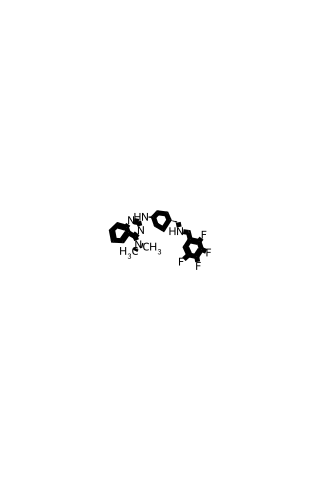 CN(C)c1nc(N[C@H]2CC[C@@H](CNCc3cc(F)c(F)c(F)c3F)CC2)nc2ccccc12